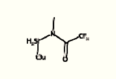 CN([SiH2]C(C)(C)C)C(=O)C(F)(F)F